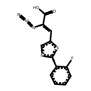 [N-]=[N+]=N/C(=C\c1cnc(-c2ccccc2F)s1)C(=O)O